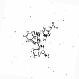 CCOc1ccccc1Nc1nc(Nc2cc(C3CC3)n[nH]2)c2ccccc2n1